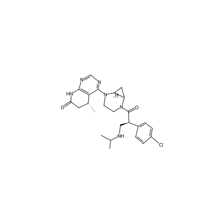 CC(C)NC[C@@H](C(=O)N1CCN(c2ncnc3c2[C@H](C)CC(=O)N3)[C@H]2C[C@]21C)c1ccc(Cl)cc1